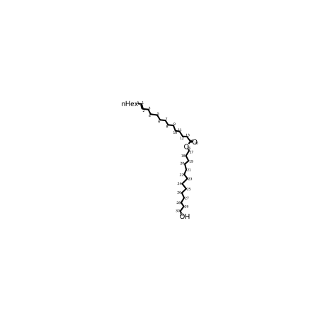 CCCCCCC=CCCCCCCCCCCCC(=O)OCCCCCCCCCCCCCCO